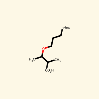 CCCCCCCCCOC(C)C(C)C(=O)O